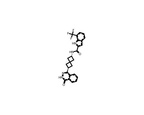 O=C(N[C@H]1CC2(C1)C[C@H](c1n[nH]c(=O)c3ccccc31)C2)c1cc2cccc(C(F)(F)F)c2[nH]1